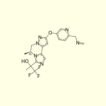 C=NCc1ccc(Oc2cc3n(n2)C[C@H](C)n2c-3cnc2C(C)(O)C(F)(F)F)cn1